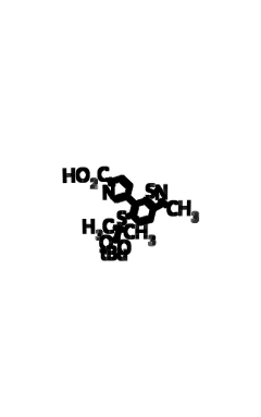 Cc1nsc2c(-c3ccc(C(=O)O)nc3)c(SC(C)(C)C(=O)OC(C)(C)C)ccc12